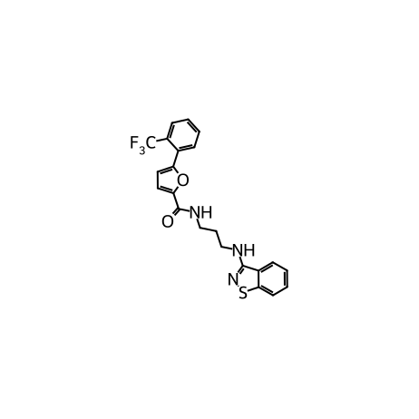 O=C(NCCCNc1nsc2ccccc12)c1ccc(-c2ccccc2C(F)(F)F)o1